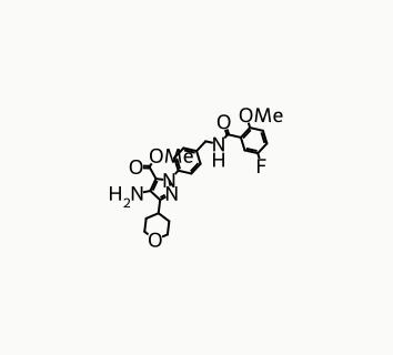 COC(=O)c1c(N)c(C2CCOCC2)nn1-c1ccc(CNC(=O)c2cc(F)ccc2OC)cc1